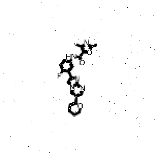 Cc1nc(C)c(C(=O)Nc2ccc(F)c(-c3cn4cc(C5=CCCCO5)cnc4n3)c2)o1